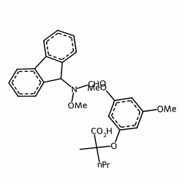 CCCC(C)(Oc1cc(OC)cc(OC)c1)C(=O)O.CON(C=O)C1c2ccccc2-c2ccccc21